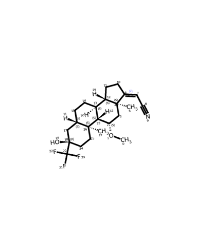 CO[C@H]1C[C@]2(C)/C(=C\C#N)CC[C@H]2[C@@H]2CC[C@H]3C[C@@](O)(C(F)(F)F)CC[C@]3(C)[C@H]21